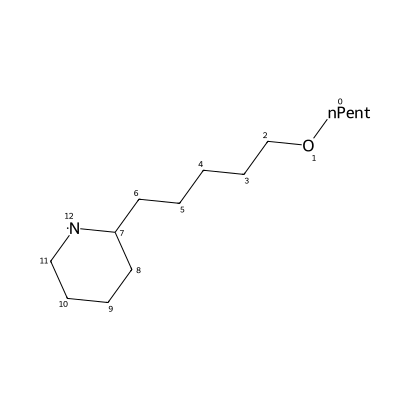 CCCCCOCCCCCC1CCCC[N]1